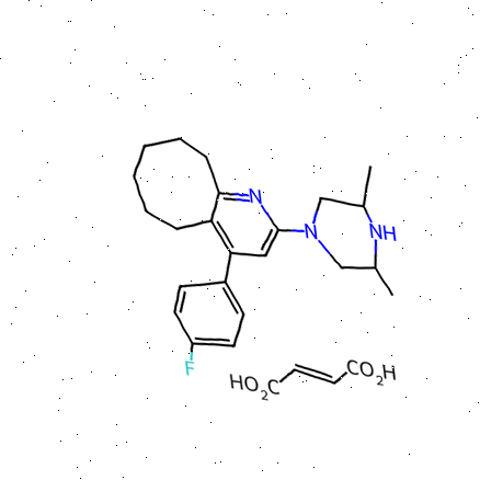 CC1CN(c2cc(-c3ccc(F)cc3)c3c(n2)CCCCCC3)CC(C)N1.O=C(O)/C=C/C(=O)O